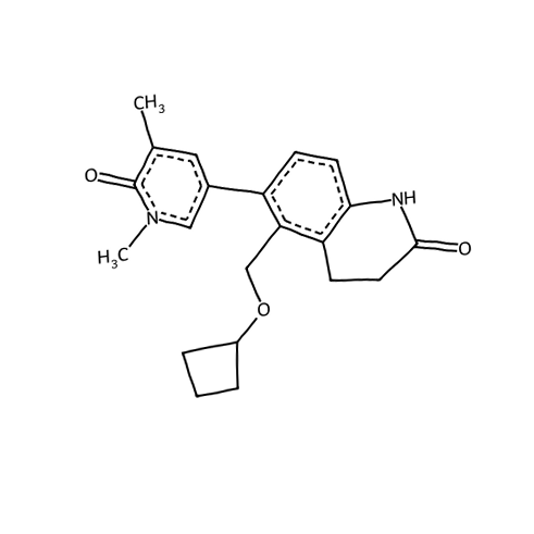 Cc1cc(-c2ccc3c(c2COC2CCC2)CCC(=O)N3)cn(C)c1=O